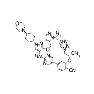 C[C@@H](Cn1cnnn1)Oc1cc(-c2cnc(Nc3cn([C@H]4CC[C@H](N5CCOCC5)CC4)nc3OCc3ccnn3C)nc2)ccc1C#N